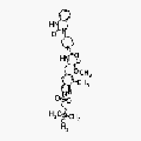 COC(=O)[C@@H](Cc1cc(C)c2nn(S(=O)(=O)CC[Si](C)(C)C)cc2c1)NC(=O)N1CCC(N2Cc3ccccc3NC2=O)CC1